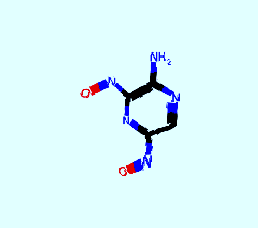 Nc1ncc(N=O)nc1N=O